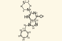 O=c1nc(N2CCSCC2)[nH]c2c1ncn2Cc1ccccc1